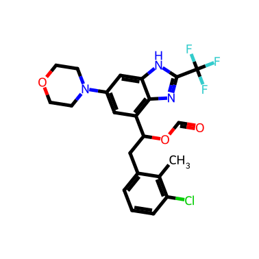 Cc1c(Cl)cccc1CC(OC=O)c1cc(N2CCOCC2)cc2[nH]c(C(F)(F)F)nc12